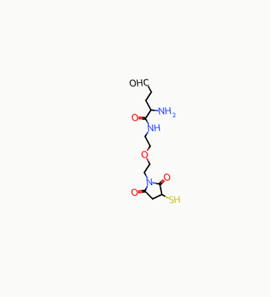 NC(CCC=O)C(=O)NCCOCCN1C(=O)CC(S)C1=O